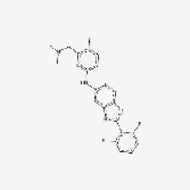 Cc1ccc(Nc2cc3nc(-c4c(F)cccc4F)sc3cn2)nc1CN(C)C